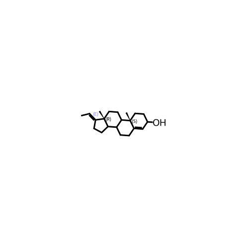 C/C=C1\CCC2C3CCC4=CC(O)CC[C@@]4(C)C3CC[C@@]12C